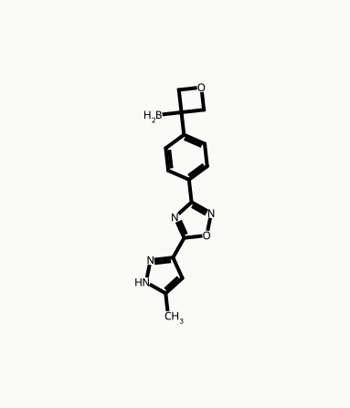 BC1(c2ccc(-c3noc(-c4cc(C)[nH]n4)n3)cc2)COC1